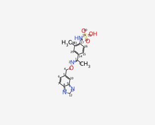 C/C(=N\OCc1ccc2c(c1)=NCN=2)c1ccc(NS(=O)(=O)O)c(C)c1